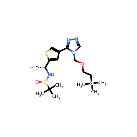 C[C@@H](N[S@+]([O-])C(C)(C)C)c1cc(-c2nncn2COCC[Si](C)(C)C)cs1